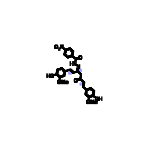 COc1cc(/C=C/C(=O)CC(/C=C/c2ccc(O)c(OC)c2)=N/NC(=O)c2ccc([N+](=O)[O-])cc2)ccc1O